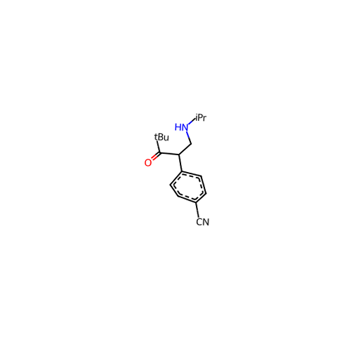 CC(C)NCC(C(=O)C(C)(C)C)c1ccc(C#N)cc1